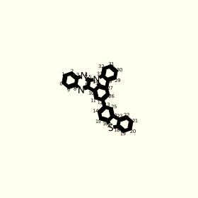 c1ccc2nc3c(nc2c1)c1cc(-c2ccc4sc5ccccc5c4c2)cc2c4ccccc4n3c21